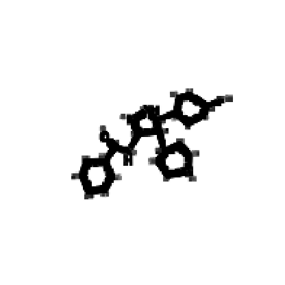 O=C(Nc1n[nH]c(-c2ccc(F)cc2)c1-c1ccncc1)c1ccccc1